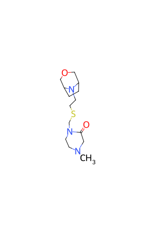 CN1CCN(CSCCN2C3CCC2COC3)C(=O)C1